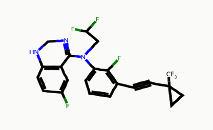 Fc1ccc2c(c1)C(N(CC(F)F)c1cccc(C#CC3(C(F)(F)F)CC3)c1F)=NCN2